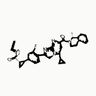 CCOC(=O)[C@H]1CC1c1ccc(-c2cn3c(C4CC4)cc(C(=O)N4CCc5ccccc5[C@H]4C)nc3n2)c(F)c1